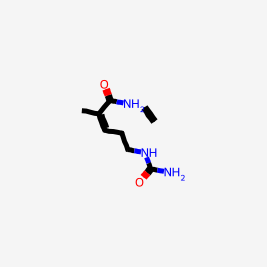 C=C.CC(=CCCNC(N)=O)C(N)=O